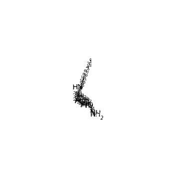 CCCCCCCCCCCCCCCCNCCC[C@@H](C)C1CCC2[C@@H]3CC[C@@H]4C[C@H](OCCCN)CC[C@]4(C)C3CC[C@@]21C